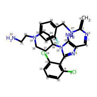 C=C(/N=C\c1nc(-c2c(Cl)cccc2Cl)n(C2CCN(CCN)CC2)c1N)NCc1ccccc1F